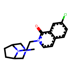 CN1CC2CCC(C1)N2CCn1ccc2ccc(Cl)cc2c1=O